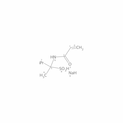 C=CC(=O)NC(C)(C(C)C)S(=O)(=O)O.[NaH]